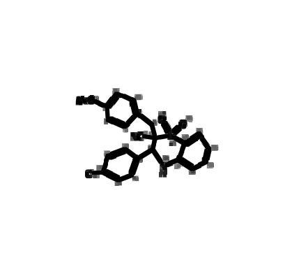 COc1ccc(CC2(C#N)C(c3ccc(Cl)cc3)Nc3ccccc3S2(=O)=O)cc1